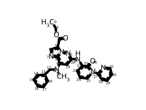 CCOC(=O)c1cnc2c(N(C)Cc3ccccc3)cc(Nc3cccn(-c4ccccn4)c3=O)nn12